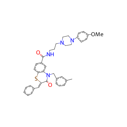 COc1ccc(N2CCN(CCCNC(=O)c3ccc4c(c3)N(Cc3cccc(C)c3)C(=O)C(=Cc3ccccc3)S4)CC2)cc1